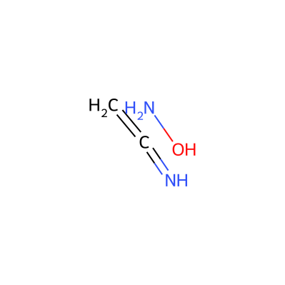 C=C=N.NO